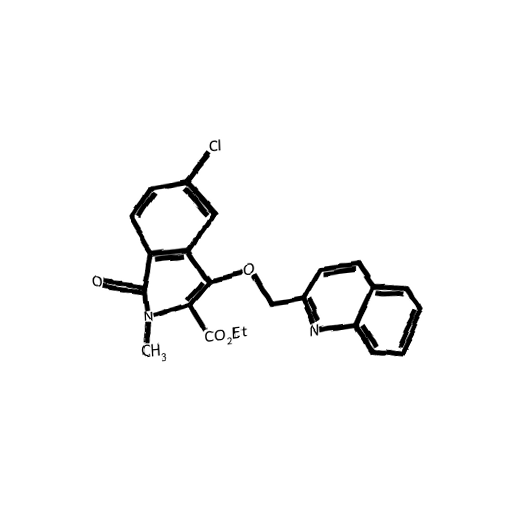 CCOC(=O)c1c(OCc2ccc3ccccc3n2)c2cc(Cl)ccc2c(=O)n1C